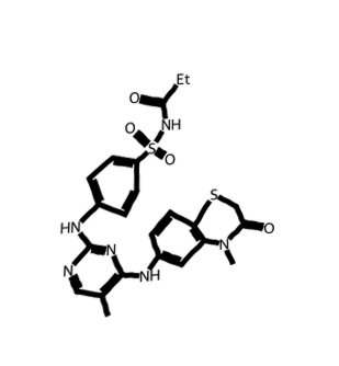 CCC(=O)NS(=O)(=O)c1ccc(Nc2ncc(C)c(Nc3ccc4c(c3)N(C)C(=O)CS4)n2)cc1